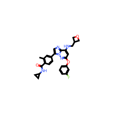 Cc1cc(-c2cnc3c(NCC4COC4)cc(Oc4cccc(F)c4)nn23)ccc1C(=O)NC1CC1